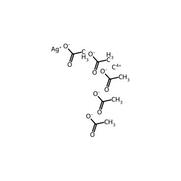 CC(=O)[O-].CC(=O)[O-].CC(=O)[O-].CC(=O)[O-].CC(=O)[O-].[Ag+].[C+4]